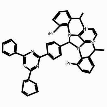 CC(C)c1cccc2c1N1c3c4[n+](cc[n+]3C2C)C(C)c2cccc(C(C)C)c2N4C1c1ccc(-c2nc(-c3ccccc3)nc(-c3ccccc3)n2)cc1